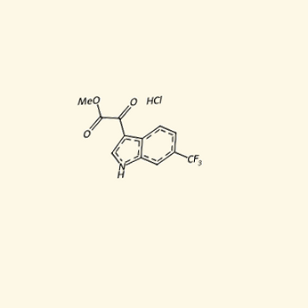 COC(=O)C(=O)c1c[nH]c2cc(C(F)(F)F)ccc12.Cl